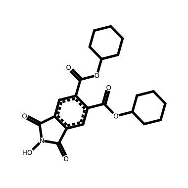 O=C(OC1CCCCC1)c1cc2c(cc1C(=O)OC1CCCCC1)C(=O)N(O)C2=O